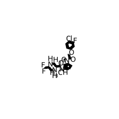 CN(C(=O)C1CNC(C(F)F)CN1)[C@H]1CC2(N(C)C(=O)COc3ccc(Cl)c(F)c3)CC1C2